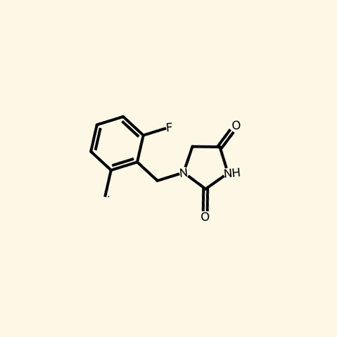 [CH2]c1cccc(F)c1CN1CC(=O)NC1=O